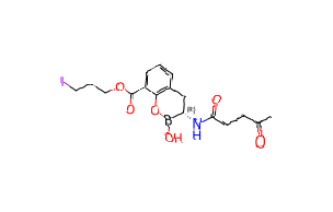 CC(=O)CCC(=O)N[C@H]1Cc2cccc(C(=O)OCCCI)c2OB1O